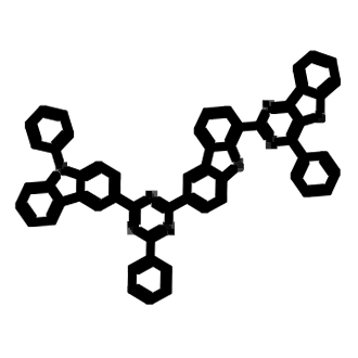 c1ccc(-c2nc(-c3ccc4sc5c(-c6nc(-c7ccccc7)c7sc8ccccc8c7n6)cccc5c4c3)nc(-c3ccc4c(c3)c3ccccc3n4-c3ccccc3)n2)cc1